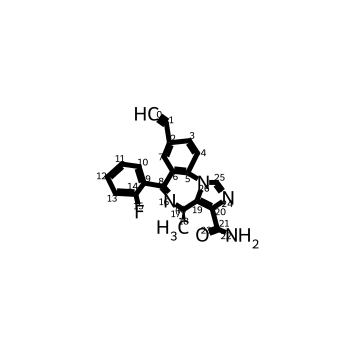 C#Cc1ccc2c(c1)C(c1ccccc1F)=N[C@H](C)c1c(C(N)=O)ncn1-2